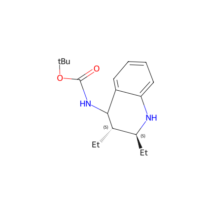 CC[C@@H]1Nc2ccccc2C(NC(=O)OC(C)(C)C)[C@H]1CC